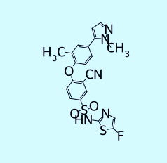 Cc1cc(-c2ccnn2C)ccc1Oc1ccc(S(=O)(=O)Nc2ncc(F)s2)cc1C#N